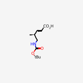 C[C@@H](C=CC(=O)O)CNC(=O)OC(C)(C)C